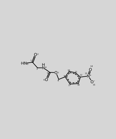 [NH]C(=O)CNC(=O)OCc1ccc([N+](=O)[O-])cc1